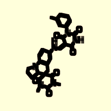 Cc1cccc(N2C(=O)NC(=O)/C(=C/Nc3ccc4c(c3)CC3(C(=O)N(C)C(=O)N(C)C3=O)C3CCCN43)C2=O)c1